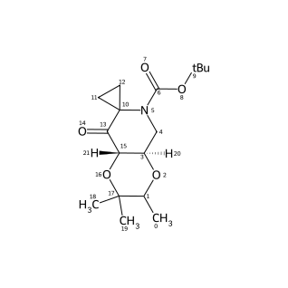 CC1O[C@@H]2CN(C(=O)OC(C)(C)C)C3(CC3)C(=O)[C@H]2OC1(C)C